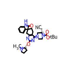 CN1CCC[C@H]1COc1nc2c(c(N3CCN(C(=O)OC(C)(C)C)[C@@H](CC#N)C3)n1)CCC1(C2)C(=O)Nc2ccccc21